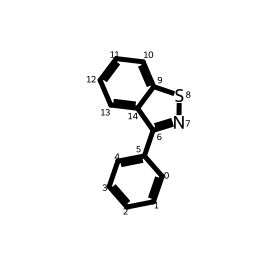 [c]1ccccc1-c1nsc2ccccc12